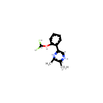 Cc1nc(-c2ccccc2OC(F)F)cnc1C(=O)O